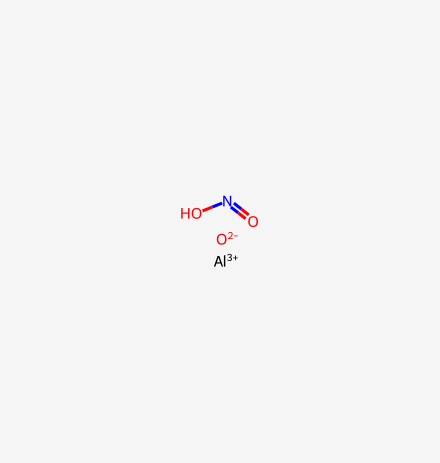 O=NO.[Al+3].[O-2]